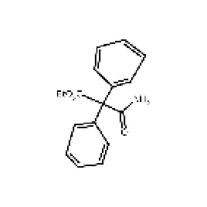 CCOC(=O)C(C(N)=O)(c1ccccc1)c1ccccc1